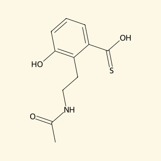 CC(=O)NCCc1c(O)cccc1C(O)=S